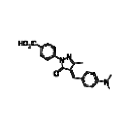 CC1=NN(c2ccc(C(=O)O)cc2)C(=O)/C1=C/c1ccc(N(C)C)cc1